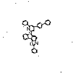 c1ccc(-c2ccc(-c3cc(-c4ccccc4)nc(-n4c5ccccc5c5c6oc(-c7ccccc7)nc6ccc54)c3)cc2)cc1